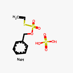 C=CSS(=O)(=O)OCc1ccccc1.O=S(=O)(O)O.[NaH]